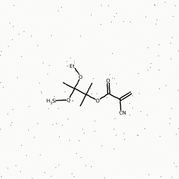 C=C(C#N)C(=O)OC(C)(C)C(C)(O[SiH3])OCC